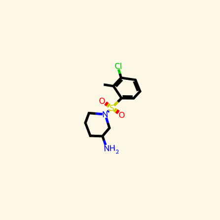 Cc1c(Cl)cccc1S(=O)(=O)N1CCCC(N)C1